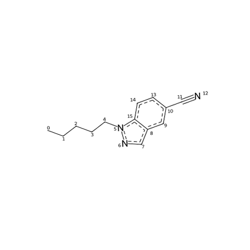 CCCCCn1ncc2cc(C#N)ccc21